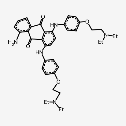 CCN(CC)CCOc1ccc(Nc2ccc(Nc3ccc(OCCN(CC)CC)cc3)c3c2C(=O)c2cccc(N)c2C3=O)cc1